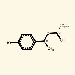 CCOC(=O)[C@H](C)O[C@@H](C)c1ccc(O)cc1